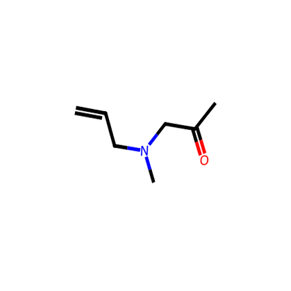 C=CCN(C)CC(C)=O